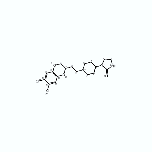 O=C1NCCN1C1CCN(CCC2COc3cc(Cl)c(Cl)cc3O2)CC1